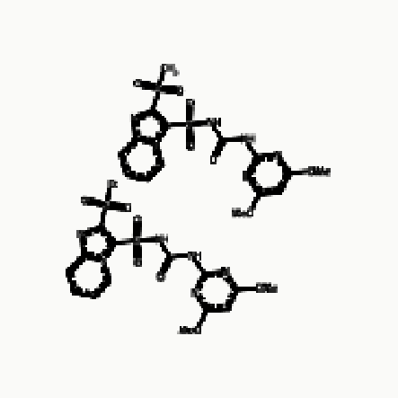 CCS(=O)(=O)c1nc2ccccn2c1S(=O)(=O)NC(=O)Nc1nc(OC)cc(OC)n1.COc1cc(OC)nc(NC(=O)NS(=O)(=O)c2c(S(C)(=O)=O)nc3ccccn23)n1